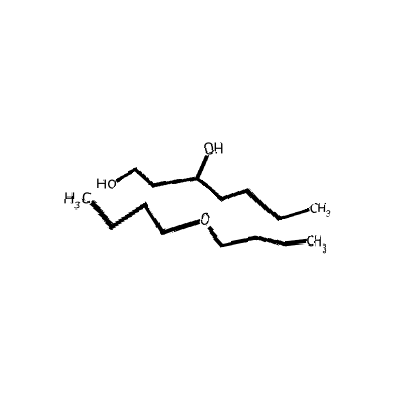 CCCCC(O)CCO.CCCCOCCCC